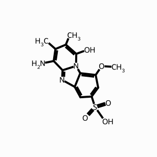 COc1cc(S(=O)(=O)O)cc2nc3c(N)c(C)c(C)c(O)n3c12